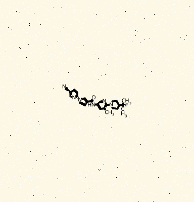 Cc1cc(NC(=O)c2ccn(-c3ccc(C#N)cn3)c2)cnc1N1CCC(C(C)(C)F)CC1